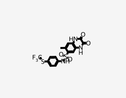 Cc1cc2[nH]c(=O)c(=O)[nH]c2cc1S(=O)(=O)Nc1ccc(SC(F)(F)F)cc1